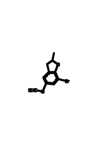 CC1Cc2cc(OC=O)cc(Br)c2O1